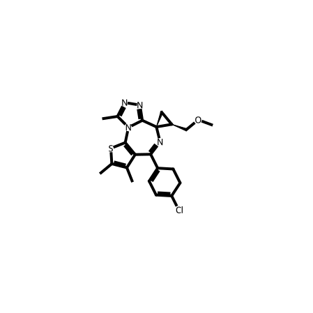 COC[C@@H]1C[C@]12N=C(C1=CC=C(Cl)CC1)c1c(sc(C)c1C)-n1c(C)nnc12